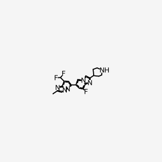 Cc1cn2nc(-c3cc(F)c4nc(C5CCNCC5)cn4c3)cc(C(F)F)c2n1